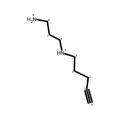 C#CCCCNCCCN